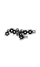 O=C([C@@H](NS(=O)(=O)c1ccc2cc(OC3CCCC3)ccc2c1)C(F)(F)c1ccc(-c2ccc(Cl)cc2)cc1)N1CCCNC1